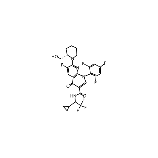 O=C(NC(C1CC1)C(F)(F)F)c1cn(-c2c(F)cc(F)cc2F)c2nc(N3CCCC[C@H]3CO)c(F)cc2c1=O